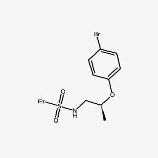 CC(C)S(=O)(=O)NC[C@H](C)Oc1ccc(Br)cc1